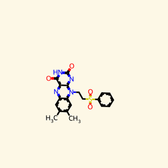 Cc1cc2nc3c(=O)[nH]c(=O)nc-3n(CCS(=O)(=O)c3ccccc3)c2cc1C